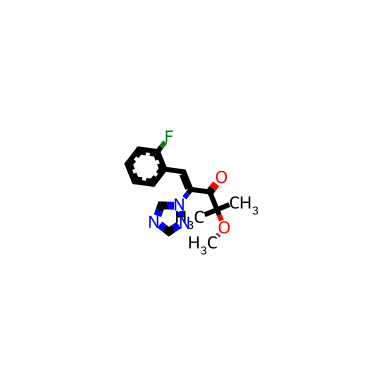 COC(C)(C)C(=O)C(=Cc1ccccc1F)n1cncn1